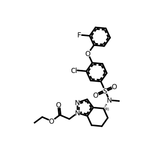 CCOC(=O)Cn1ncc2c1CCC[C@H]2N(C)S(=O)(=O)c1ccc(Oc2ccccc2F)c(Cl)c1